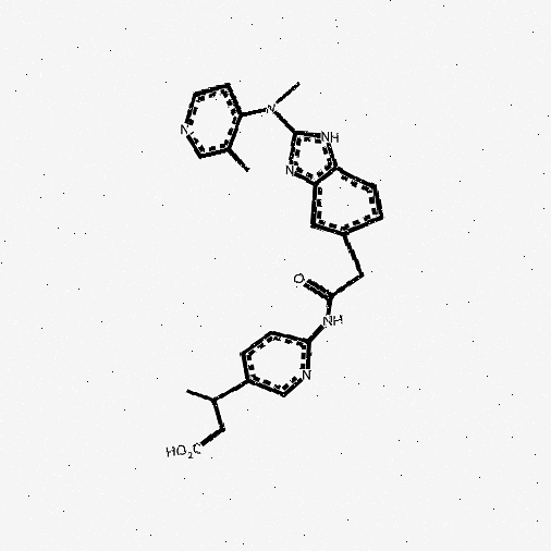 Cc1cnccc1N(C)c1nc2cc(CC(=O)Nc3ccc(C(C)CC(=O)O)cn3)ccc2[nH]1